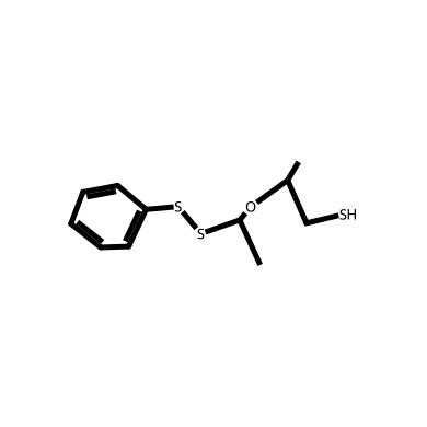 CC(CS)OC(C)SSc1ccccc1